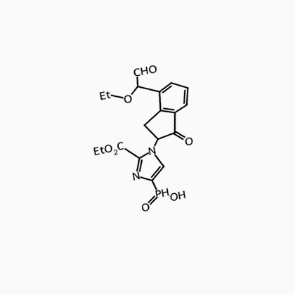 CCOC(=O)c1nc([PH](=O)O)cn1C1Cc2c(cccc2C(C=O)OCC)C1=O